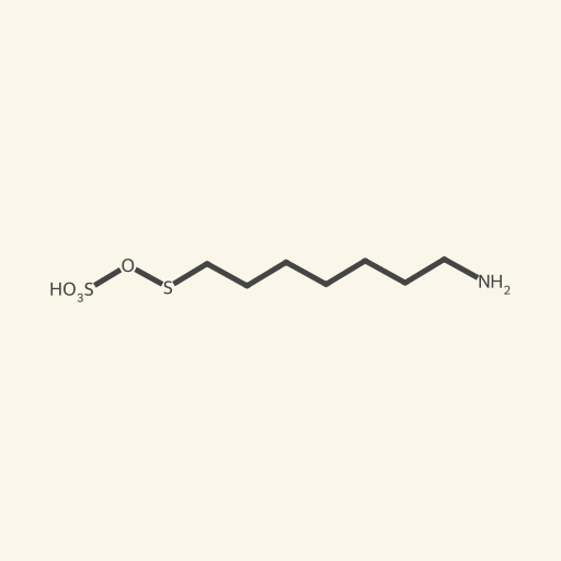 NCCCCCCCSOS(=O)(=O)O